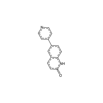 O=c1ccc2cc(-c3ccncc3)ccc2[nH]1